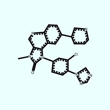 Cn1c(=O)n(-c2ccc(-n3cncn3)c(Cl)c2)c2c3cc(-c4cccnc4)ccc3ncc21